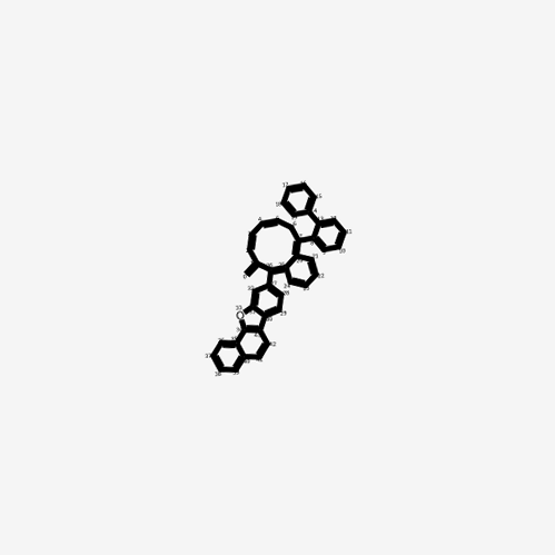 C=C1/C=C\C=C/C/C(c2ccccc2-c2ccccc2)=c2/cccc/c2=C/1c1ccc2c(c1)oc1c3ccccc3ccc21